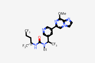 CCN(C(=O)N[C@@H](CCC(F)(F)F)C(F)(F)F)C(c1cncc(-c2cn3ccnc3c(OC)n2)c1)C(F)(F)F